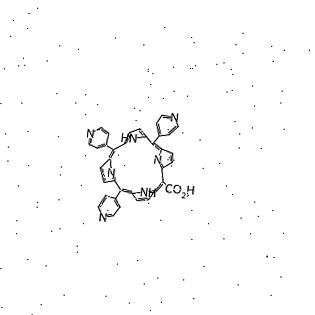 O=C(O)c1c2nc(c(-c3ccncc3)c3ccc([nH]3)c(-c3ccncc3)c3nc(c(-c4ccncc4)c4ccc1[nH]4)C=C3)C=C2